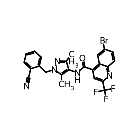 Cc1nn(Cc2ccccc2C#N)c(C)c1NC(=O)c1cc(C(F)(F)F)nc2ccc(Br)cc12